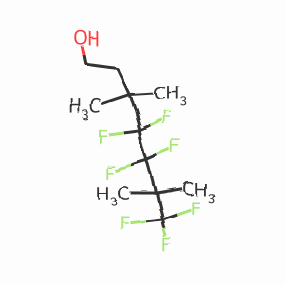 CC(C)(CCO)C(F)(F)C(F)(F)C(C)(C)C(F)(F)F